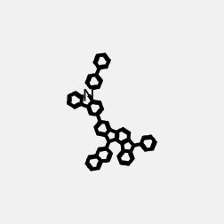 c1ccc(-c2ccc(-n3c4ccccc4c4cc(-c5ccc6c(c5)-c5ccc7c(c5C6c5ccc6ccccc6c5)-c5ccccc5C7c5ccccc5)ccc43)cc2)cc1